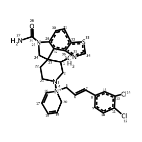 CC1CN([N+]2(C/C=C/c3ccc(Cl)c(Cl)c3)C=CC=CC2)CCC12CN(C(N)=O)c1ccc3scnc3c12